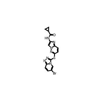 O=C(Nc1cn2nc(Sc3nnc4ccc(Br)cn34)ccc2n1)C1CC1